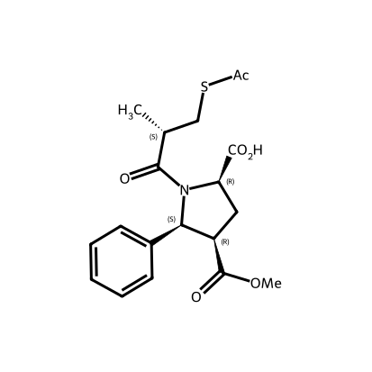 COC(=O)[C@@H]1C[C@H](C(=O)O)N(C(=O)[C@H](C)CSC(C)=O)[C@@H]1c1ccccc1